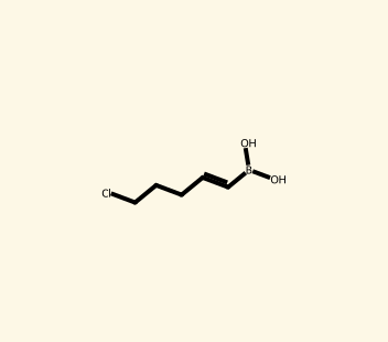 OB(O)C=CCCCCl